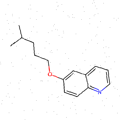 CC(C)CCCOc1ccc2ncccc2c1